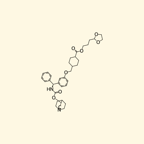 O=C(N[C@@H](c1ccccc1)c1cccc(OCC2CCC(C(=O)OCCCC3OCCO3)CC2)c1)OC1CN2CCC1CC2